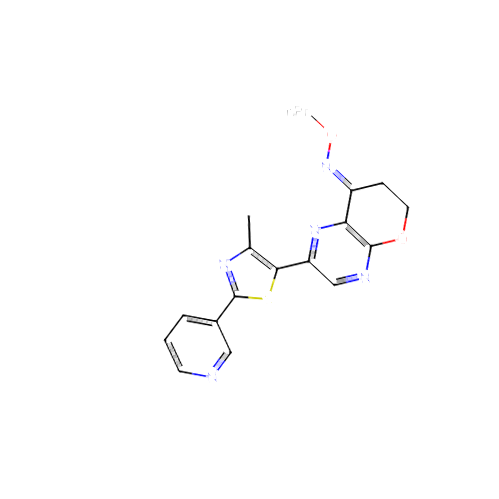 CCCO/N=C1\CCOc2ncc(-c3sc(-c4cccnc4)nc3C)nc21